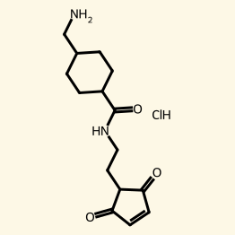 Cl.NCC1CCC(C(=O)NCCC2C(=O)C=CC2=O)CC1